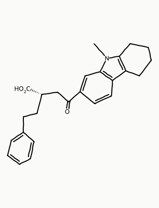 Cn1c2c(c3ccc(C(=O)C[C@H](CCc4ccccc4)C(=O)O)cc31)CCCC2